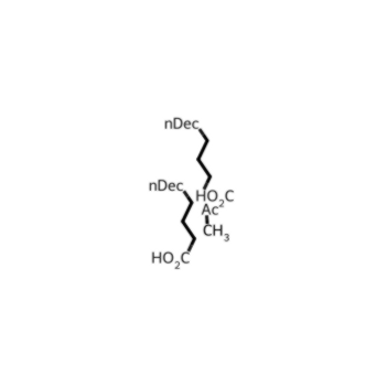 CC(C)=O.CCCCCCCCCCCCCC(=O)O.CCCCCCCCCCCCCC(=O)O